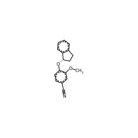 COc1cc(C#N)ccc1O[C@H]1CCc2ccccc21